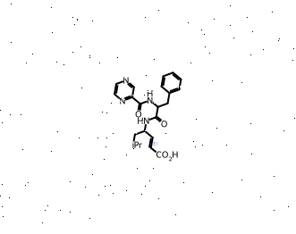 CC(C)CC(/C=C/C(=O)O)NC(=O)C(Cc1ccccc1)NC(=O)c1cnccn1